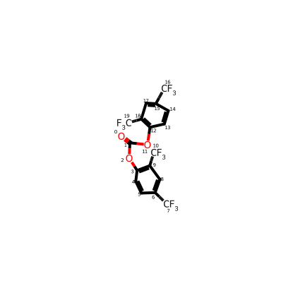 O=C(Oc1ccc(C(F)(F)F)cc1C(F)(F)F)Oc1ccc(C(F)(F)F)cc1C(F)(F)F